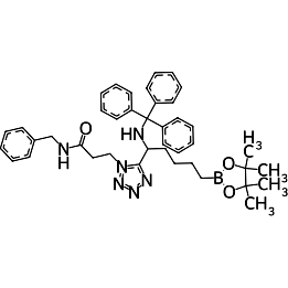 CC1(C)OB(CCCCC(NC(c2ccccc2)(c2ccccc2)c2ccccc2)c2nnnn2CCC(=O)NCc2ccccc2)OC1(C)C